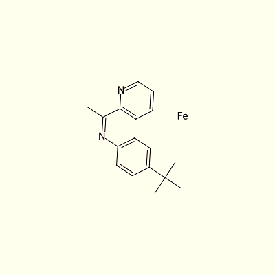 CC(=Nc1ccc(C(C)(C)C)cc1)c1ccccn1.[Fe]